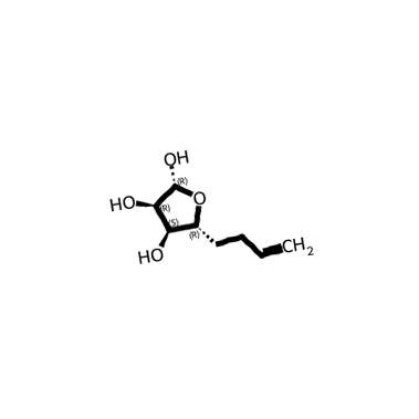 C=CCC[C@H]1O[C@@H](O)[C@H](O)[C@@H]1O